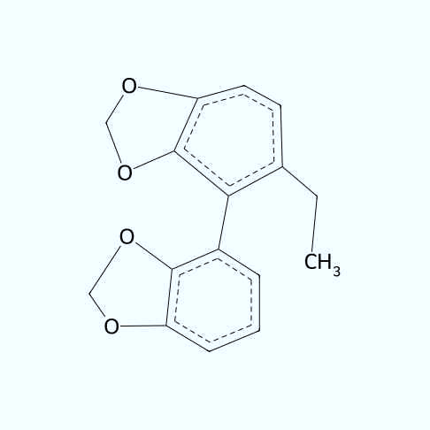 CCc1ccc2c(c1-c1cccc3c1OCO3)OCO2